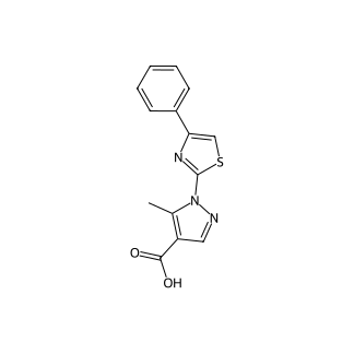 Cc1c(C(=O)O)cnn1-c1nc(-c2ccccc2)cs1